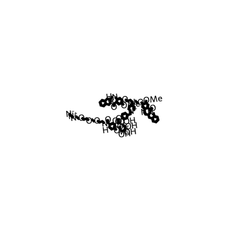 COc1cc2c(cc1OCCN(CCOc1cc3c(cc1OC)C(=O)N1Cc4ccccc4C[C@H]1C=N3)c1cc[n+](Cc3ccc(OS(=O)(=O)Oc4cc(C(=O)NCCOCCOCCOCCN=[N+]=[N-])ccc4OC4O[C@H](CO)[C@H](O)[C@H](O)[C@H]4O)cc3)cc1)N=CC1Cc3ccccc3CN1C2=O